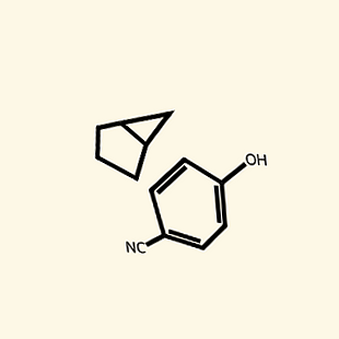 C1CC2CC2C1.N#Cc1ccc(O)cc1